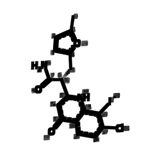 Cc1ccc(C[C@@H](C(N)=O)c2cc(=O)c3ccc(Cl)c(F)c3[nH]2)o1